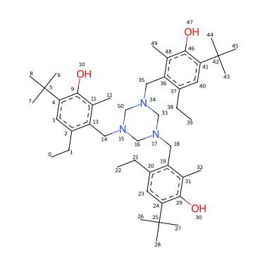 CCc1cc(C(C)(C)C)c(O)c(C)c1CN1CN(Cc2c(CC)cc(C(C)(C)C)c(O)c2C)CN(Cc2c(CC)cc(C(C)(C)C)c(O)c2C)C1